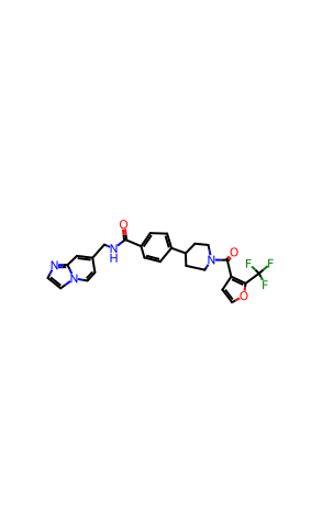 O=C(NCc1ccn2ccnc2c1)c1ccc(C2CCN(C(=O)c3ccoc3C(F)(F)F)CC2)cc1